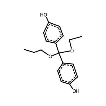 CCCOC(OCC)(c1ccc(O)cc1)c1ccc(O)cc1